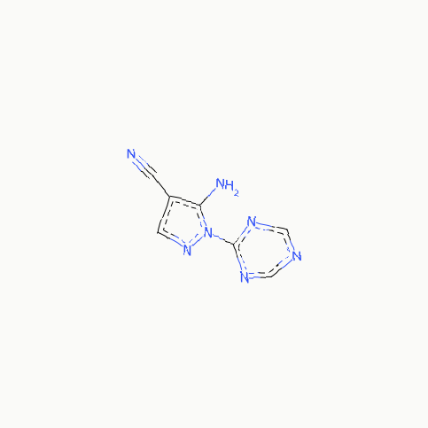 N#Cc1cnn(-c2ncncn2)c1N